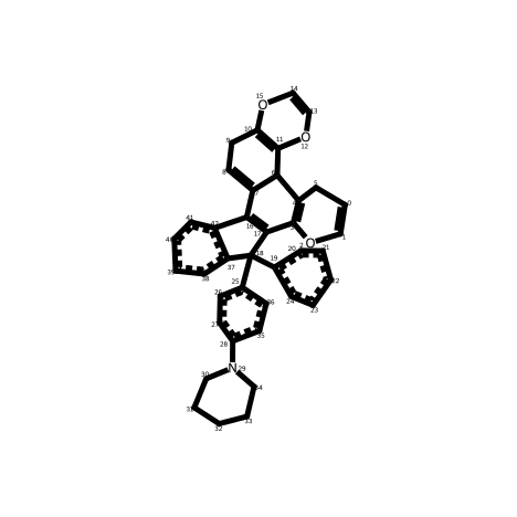 C1=COC2=C(C1)C1C(=CCC3=C1OC=CO3)C1=C2C(c2ccccc2)(c2ccc(N3CCCCC3)cc2)c2ccccc21